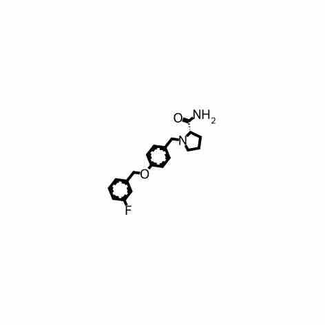 NC(=O)[C@@H]1CCCN1Cc1ccc(OCc2cccc(F)c2)cc1